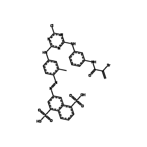 C=C(Br)C(=O)Nc1cccc(Nc2nc(Cl)nc(Nc3ccc(N=Nc4cc(S(=O)(=O)O)c5cccc(S(=O)(=O)O)c5c4)c(C)c3)n2)c1